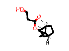 CC1(C)[C@@H]2CC[C@]1(C)[C@@H](OC(=O)CCO)C2